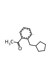 CC(=O)c1ccc[c]c1CC1CCCC1